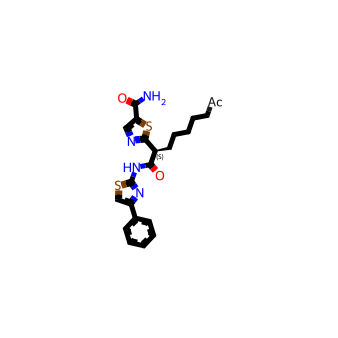 CC(=O)CCCCC[C@@H](C(=O)Nc1nc(-c2ccccc2)cs1)c1ncc(C(N)=O)s1